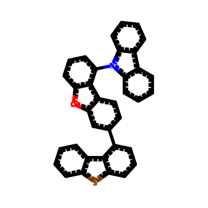 c1cc(-n2c3ccccc3c3ccccc32)c2c(c1)oc1cc(-c3cccc4sc5ccccc5c34)ccc12